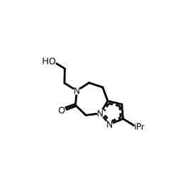 CC(C)c1cc2n(n1)CC(=O)N(CCO)CC2